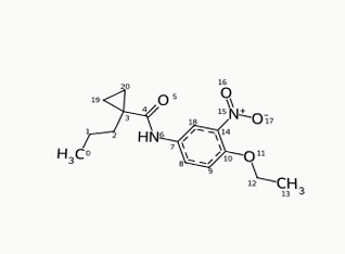 CCCC1(C(=O)Nc2ccc(OCC)c([N+](=O)[O-])c2)CC1